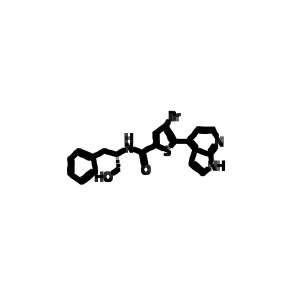 O=C(N[C@H](CO)Cc1ccccc1)c1cc(Br)c(-c2ccnc3[nH]ccc23)s1